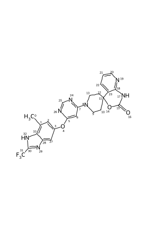 Cc1cc(Oc2cc(N3CCC4(CC3)OC(=O)Nc3ncccc34)ncn2)cc2nc(C(F)(F)F)[nH]c12